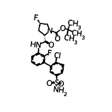 CC(C)(C)OC(=O)N1C[C@H](F)C[C@H]1C(=O)Nc1cccc(-c2cc(S(N)(=O)=O)ccc2Cl)c1F